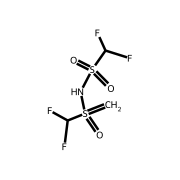 C=S(=O)(NS(=O)(=O)C(F)F)C(F)F